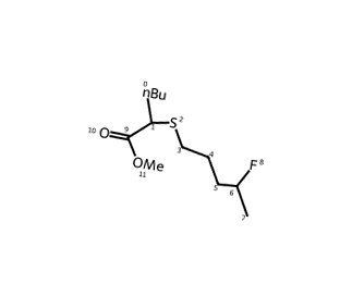 CCCCC(SCCCC(C)F)C(=O)OC